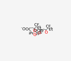 CC(C)[O][Ti+2][O]C(C)C.CCC(C(=O)CC(=O)[O-])C(F)(F)F.CCC(C(=O)CC(=O)[O-])C(F)(F)F